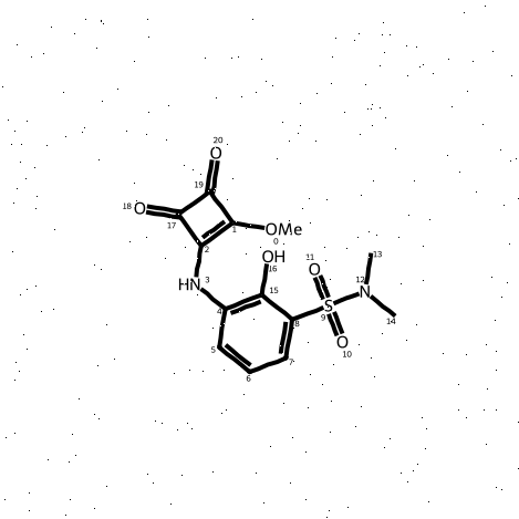 COc1c(Nc2cccc(S(=O)(=O)N(C)C)c2O)c(=O)c1=O